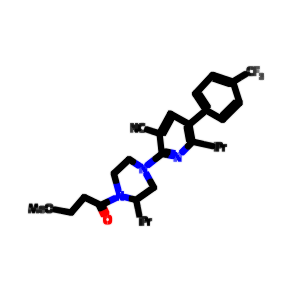 COCCC(=O)N1CCN(c2nc(C(C)C)c(-c3ccc(C(F)(F)F)cc3)cc2C#N)CC1C(C)C